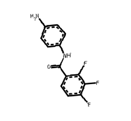 Nc1ccc(NC(=O)c2ccc(F)c(F)c2F)cc1